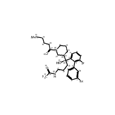 CCc1cccc(-c2c(F)cccc2[C@](O)(CCCNC(=O)C(F)(F)F)[C@@H]2CCCN(C(=O)CCCNC)C2)c1